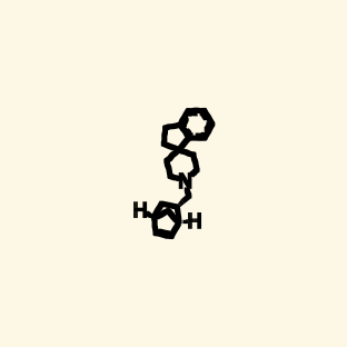 C1=C[C@H]2C[C@H]1C[C@H]2CN1CCC2(CCc3ccccc32)CC1